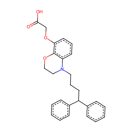 O=C(O)COc1cccc2c1OCCN2CCCC(c1ccccc1)c1ccccc1